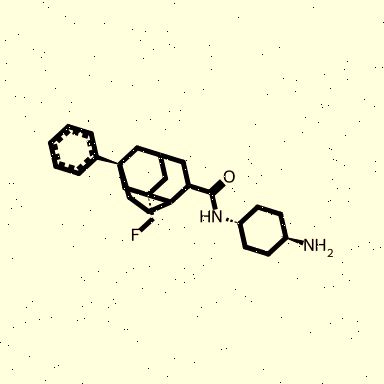 N[C@H]1CC[C@H](NC(=O)C2CC3C[C@]4(c5ccccc5)CCC2[C@](CF)(C3)C4)CC1